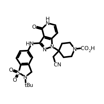 CC(C)(C)N1Cc2cc(Nc3nn(C4(CC#N)CCN(C(=O)O)CC4)c4cc[nH]c(=O)c34)ccc2S1(=O)=O